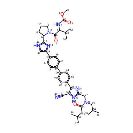 COC(=O)NC(C(=O)N1CCCC1c1nc(-c2ccc(-c3ccc(-c4nc(CN(CC(C)C)C(=O)CC(C)C)[nH]c4C#N)cc3)cc2)c[nH]1)C(C)C